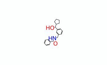 O=C(NCc1cccc(C(O)C2CCCC2)c1)c1ccccc1